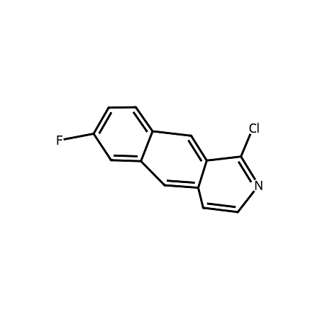 Fc1ccc2cc3c(Cl)nccc3cc2c1